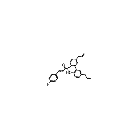 C=CCc1ccc(O)c(-c2cc(CC=C)ccc2OC(=O)/C=C/c2ccc(F)cc2)c1